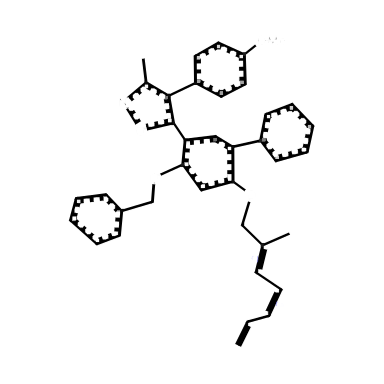 C=C/C=C\C=C(/C)COc1cc(OCc2ccccc2)c(-c2onc(C)c2-c2ccc(OC)cc2)cc1-c1ccccc1